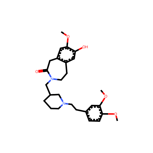 COc1cc2c(cc1O)CCN(CC1CCCN(CCc3ccc(OC)c(OC)c3)C1)C(=O)C2